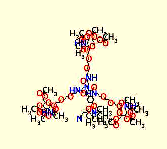 CC(=O)NC1C(OCCOCCOCCNC(=O)CN(CC(=O)NCCOCCOCCOC2OC(COC(C)=O)C(OC(C)=O)C(OC(C)=O)C2NC(C)=O)C(Cc2ccc(OP(OCCC#N)N(C(C)C)C(C)C)cc2)C(=O)NCCOCCOCCOC2OC(COC(C)=O)C(OC(C)=O)C(OC(C)=O)C2NC(C)=O)OC(COC(C)=O)C(OC(C)=O)C1OC(C)=O